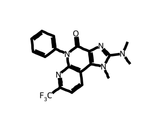 CN(C)c1nc2c(=O)n(-c3ccccc3)c3nc(C(F)(F)F)ccc3c2n1C